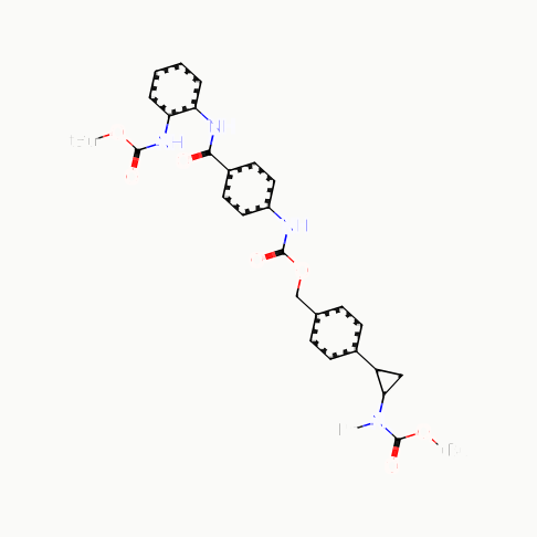 CC(C)N(C(=O)OC(C)(C)C)C1CC1c1ccc(COC(=O)Nc2ccc(C(=O)Nc3ccccc3NC(=O)OC(C)(C)C)cc2)cc1